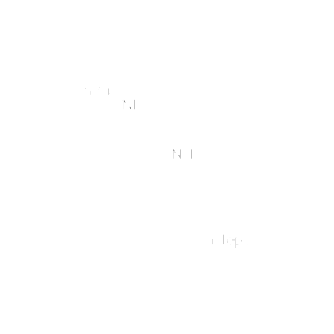 CCCCCCCCCCCCCCNCCCC.N